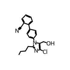 CCCCc1nc(Cl)c(CO)n1-c1ccc(-c2ccccc2C#N)cc1